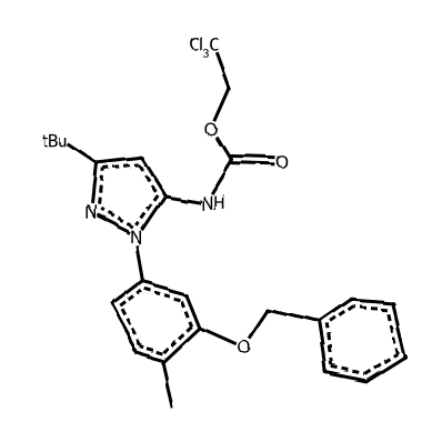 Cc1ccc(-n2nc(C(C)(C)C)cc2NC(=O)OCC(Cl)(Cl)Cl)cc1OCc1ccccc1